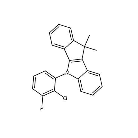 CC1(C)c2ccccc2-c2c1c1ccccc1n2-c1cccc(F)c1Cl